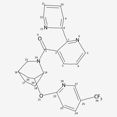 O=C(c1cccnc1-c1ccccn1)N1CC2CCC1C(Oc1ccc(C(F)(F)F)cn1)C2